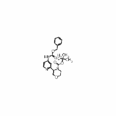 CC(C)(C)OC(=O)N1CCOCC1c1cc(NC(=O)OCc2ccccc2)ccn1